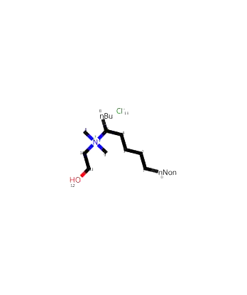 CCCCCCCCCCCCCC(CCCC)[N+](C)(C)CCO.[Cl-]